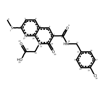 CSc1ccc2cc(C(=O)NCc3ccc(Cl)cc3)c(=O)n(CC(=O)O)c2n1